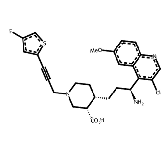 COc1ccc2ncc(Cl)c([C@@H](N)CC[C@H]3CCN(CC#Cc4cc(F)cs4)C[C@H]3C(=O)O)c2c1